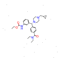 CCOC(=O)Nc1cccc([C@@H](c2ccc(C(=O)N(CC)CC)cc2)N2CCN(CC3CC3)CC2)c1